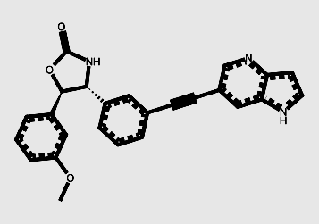 COc1cccc([C@H]2OC(=O)N[C@@H]2c2cccc(C#Cc3cnc4cc[nH]c4c3)c2)c1